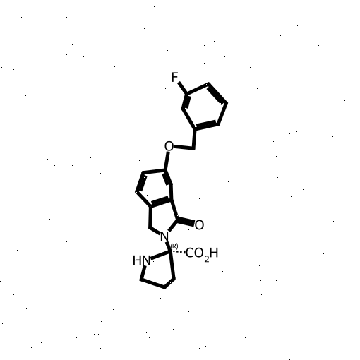 O=C1c2cc(OCc3cccc(F)c3)ccc2CN1[C@@]1(C(=O)O)CCCN1